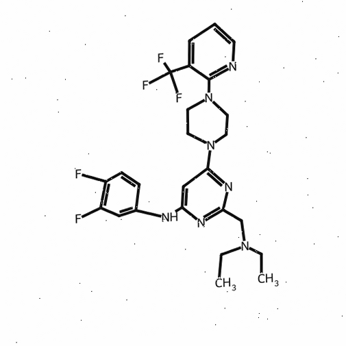 CCN(CC)Cc1nc(Nc2ccc(F)c(F)c2)cc(N2CCN(c3ncccc3C(F)(F)F)CC2)n1